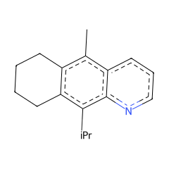 Cc1c2c(c(C(C)C)c3ncccc13)CCCC2